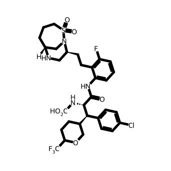 O=C(O)N[C@H](C(=O)Nc1cccc(F)c1CC[C@H]1CN[C@@H]2CCCS(=O)(=O)N1C2)[C@@H](c1ccc(Cl)cc1)C1CCC(C(F)(F)F)OC1